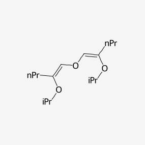 CCCC(=COC=C(CCC)OC(C)C)OC(C)C